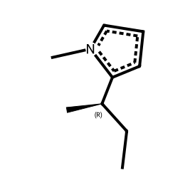 CC[C@@H](C)c1cccn1C